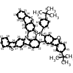 CC(C)(C)c1ccc(N2B3c4cc5sc6ccccc6c5cc4-n4c5cc6c(cc5c5ccc(c3c54)-c3cc4c(cc32)oc2ccc(C(C)(C)C)cc24)sc2ccccc26)cc1